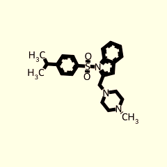 CC(C)c1ccc(S(=O)(=O)n2c(CN3CCN(C)CC3)cc3ccccc32)cc1